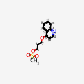 CS(=O)(=O)OCCCOc1ccnc2ccccc12